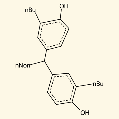 CCCCCCCCCC(c1ccc(O)c(CCCC)c1)c1ccc(O)c(CCCC)c1